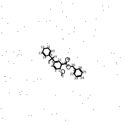 COC1C=CC(C(C)(C)C2=CCCC=C2)=CC1C(=O)OCc1ccccc1